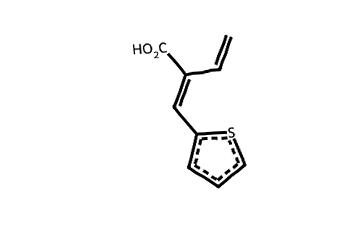 C=CC(=Cc1cccs1)C(=O)O